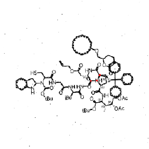 C=CCOC(=O)C[C@H](NC(=O)C(CSC(c1ccccc1)(c1ccccc1)c1ccccc1)NC(=O)CNC(=O)C(NC(=O)CNC(=O)C(CS)N(C(=O)OC(C)(C)C)C1Cc2ccccc2N1)C(C)CC)C(=O)N1C[C@H](OC2CCCC(COc3ccccccccc3)O2)C[C@H]1C(=O)N[C@H](C(=O)OC(C)(C)C)[C@@H](C)[C@H](COC(C)=O)OC(C)=O